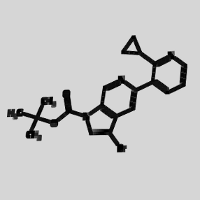 CC(C)(C)OC(=O)n1cc(Br)c2cc(-c3cccnc3C3CC3)ncc21